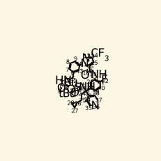 CC(C)(C)OC(=O)NCc1cccc(-n2nc(C(F)(F)F)cc2C(=O)Nc2cc(C(CCC3CC3)(N[S@+]([O-])C(C)(C)C)c3ccncc3)ccc2F)c1